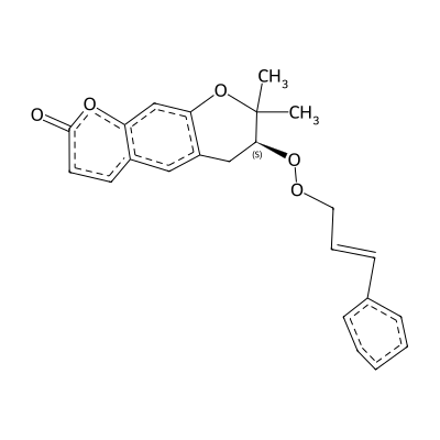 CC1(C)Oc2cc3oc(=O)ccc3cc2C[C@@H]1OOCC=Cc1ccccc1